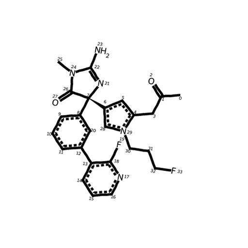 CC(=O)Cc1cc([C@]2(c3cccc(-c4cccnc4F)c3)N=C(N)N(C)C2=O)cn1CCCF